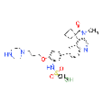 CN1C(=O)C2(CCC2)c2c1cnc1ccc(-c3ccc(OCCCN4CCNCC4)c(NS(C)(=O)=O)c3)cc21.Cl